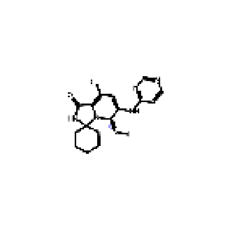 O=C1NC2(CCCCC2)n2c1c(Cl)cc(Nc1ccncn1)/c2=N\I